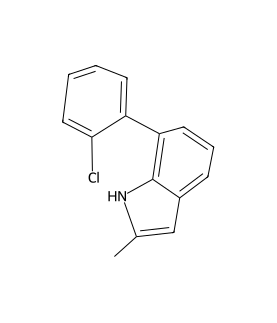 Cc1cc2cccc(-c3ccccc3Cl)c2[nH]1